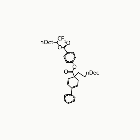 CCCCCCCCCCCCC1(C(=O)Oc2ccc(C(=O)OC(CCCCCCCC)C(F)(F)F)cc2)C=CC(c2ccccc2)=CC1